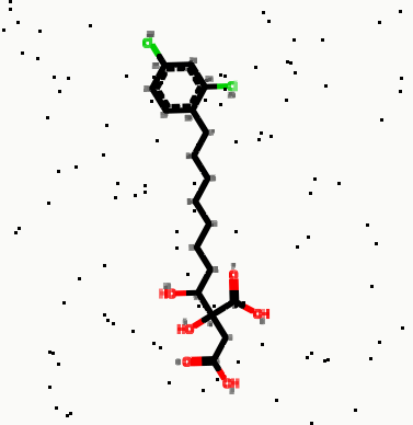 O=C(O)CC(O)(C(=O)O)C(O)CCCCCCCc1ccc(Cl)cc1Cl